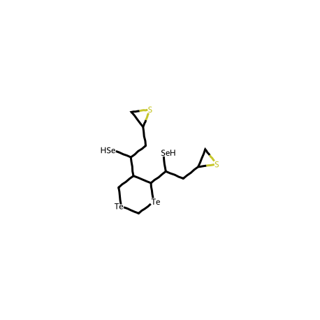 [SeH]C(CC1CS1)C1C[Te]C[Te]C1C([SeH])CC1CS1